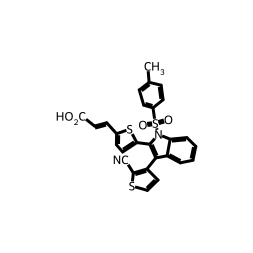 Cc1ccc(S(=O)(=O)n2c(-c3ccc(/C=C/C(=O)O)s3)c(-c3ccsc3C#N)c3ccccc32)cc1